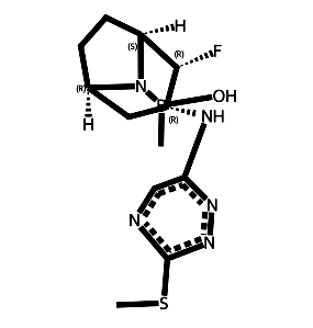 CSc1ncc(N[C@@H]2C[C@H]3CC[C@@H]([C@@H]2F)N3B(C)O)nn1